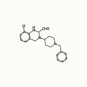 O=CC1Nc2c(Cl)cccc2CN1C1CCN(Cc2ccccc2)CC1